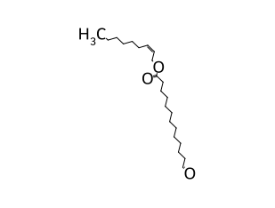 CCCCCC/C=C\COC(=O)CCCCCCCCCCCC=O